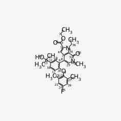 CCOC(=O)c1cc2c(-c3cc(C(C)(C)O)ccc3Oc3c(C)cc(F)cc3C)cn(C)c(=O)c2n1CC